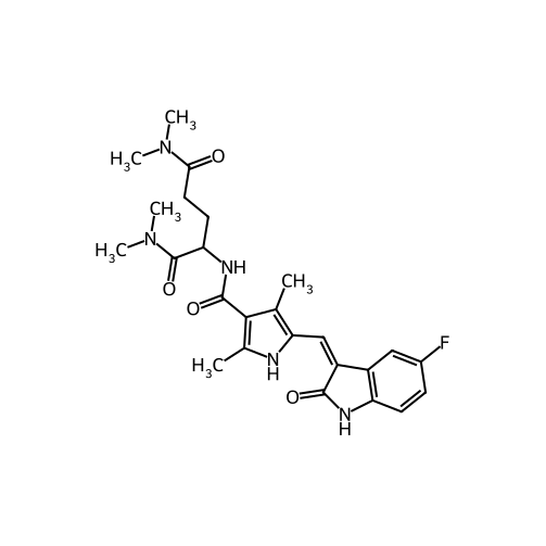 Cc1[nH]c(/C=C2\C(=O)Nc3ccc(F)cc32)c(C)c1C(=O)NC(CCC(=O)N(C)C)C(=O)N(C)C